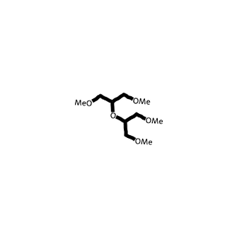 COCC(COC)OC(COC)COC